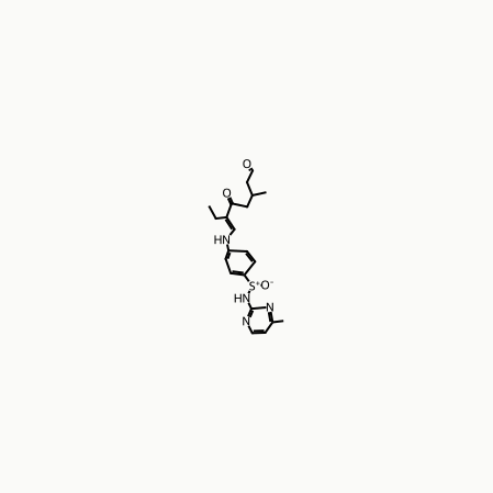 CC/C(=C\Nc1ccc([S+]([O-])Nc2nccc(C)n2)cc1)C(=O)CC(C)CC=O